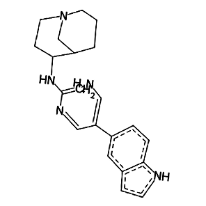 C=C(/N=C\C(=C/N)c1ccc2[nH]ccc2c1)NC1CCN2CCCC1C2